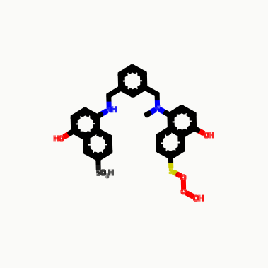 CN(Cc1cccc(CNc2ccc(O)c3cc(S(=O)(=O)O)ccc23)c1)c1ccc(O)c2cc(SOOO)ccc12